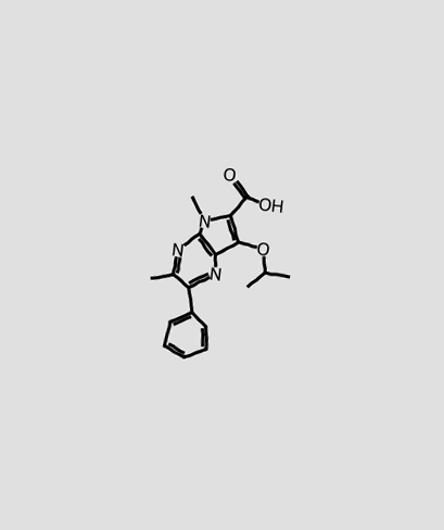 Cc1nc2c(nc1-c1ccccc1)c(OC(C)C)c(C(=O)O)n2C